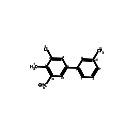 Cc1c(Cl)cc(-c2cccc(C(F)(F)F)c2)cc1C=O